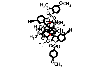 COc1ccc(S(=O)(=O)N2C(=O)[C@](c3cccnc3OC)(N(C)C(C)(CC(C(=O)N(C)C)N(C)[C@@]3(c4cccnc4OC)C(=O)N(S(=O)(=O)c4ccc(OC)cc4OC)c4ccc(C#N)cc43)C(=O)N(C)C)c3cc(C#N)ccc32)cc1